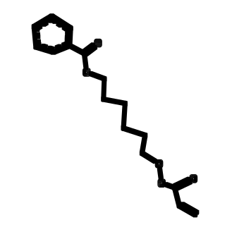 C=CC(=O)OOCCCCCCOC(=O)c1ccccc1